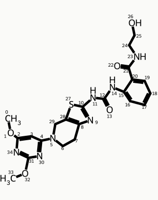 COc1cc(N2CCc3nc(NC(=O)Nc4ccccc4C(=O)NCCO)sc3C2)nc(OC)n1